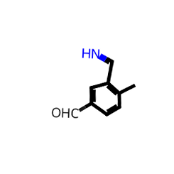 Cc1ccc(C=O)cc1C=N